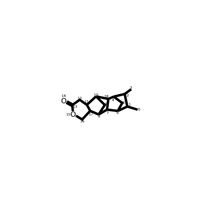 CC1C(C)C2CC1C1C3CC(C4CC(=O)OCC43)C21